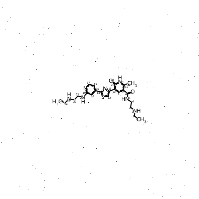 CCNCCNC(=O)c1cc(-c2csc(-c3ccnc(NCCNCC)c3)n2)c(=O)[nH]c1C